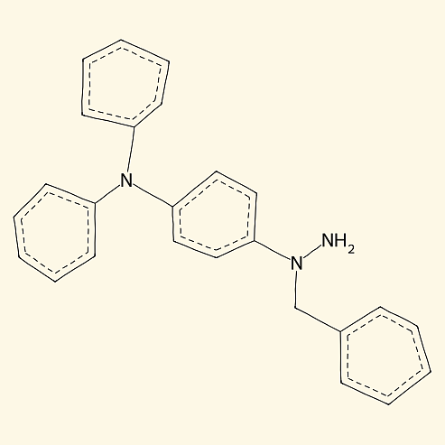 NN(Cc1ccccc1)c1ccc(N(c2ccccc2)c2ccccc2)cc1